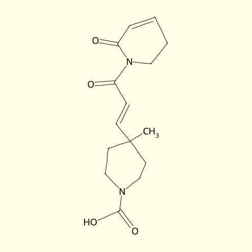 CC1(C=CC(=O)N2CCC=CC2=O)CCN(C(=O)O)CC1